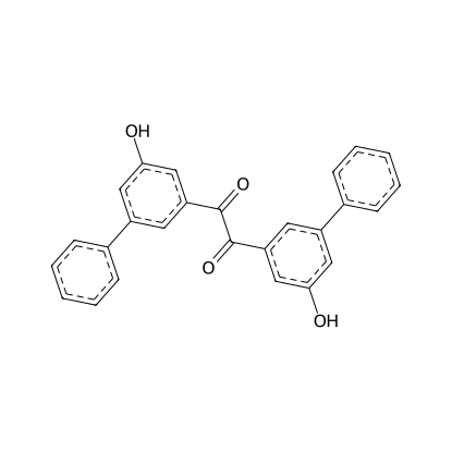 O=C(C(=O)c1cc(O)cc(-c2ccccc2)c1)c1cc(O)cc(-c2ccccc2)c1